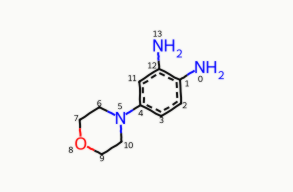 Nc1ccc(N2CCOCC2)cc1N